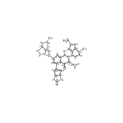 Nc1nc2c(-c3c(F)c4nc(OC[C@@]56CCCN5C[C@H](F)C6)nc(-n5cc6c(n5)CNC6)c4c(=O)n3C3CC3)ccc(F)c2s1